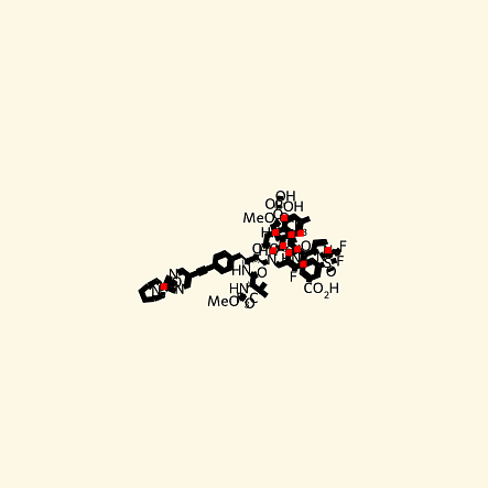 COC(=O)N[C@H](C(=O)N[C@@H](Cc1ccc(C#Cc2cnc(N3CC4CCC(C3)N4C3COC3)nc2)cc1)[C@H](CN(Cc1c(F)cc(-c2ccn(C(F)F)n2)cc1F)NC(=O)[C@@H](NC(=O)OC)C(C)(C)C(F)(F)F)OC(=O)CC(C)(C)c1c(CC(=O)Nc2cc(C(=O)O)cc(S(C)(=O)=O)c2)cc(C)cc1OP(=O)(O)O)C(C)(C)C(F)(F)F